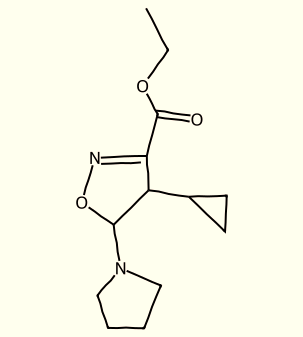 CCOC(=O)C1=NOC(N2CCCC2)C1C1CC1